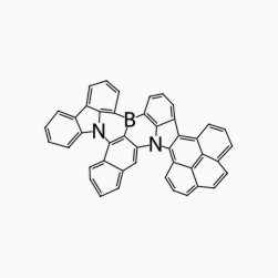 c1ccc2c3c4c(cc2c1)-n1c2c(cccc2c2c5cccc6ccc7cccc(c7c65)c21)B4c1cccc2c4ccccc4n-3c12